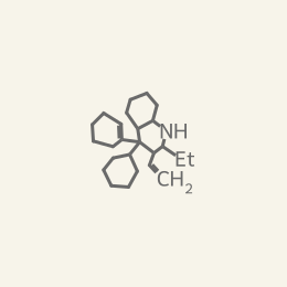 C=CC1C(CC)NC2CCCCC2C1(C1=CCCCC1)C1CCCCC1